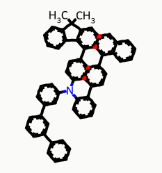 CC1(C)c2ccccc2-c2c(-c3ccc(N(c4cccc(-c5cccc(-c6ccccc6)c5)c4)c4ccccc4-c4ccc(-c5cccc6ccccc56)cc4)cc3)cccc21